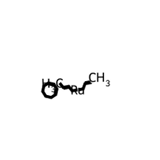 C1=CCCCCC=C1.CC=C[CH2][Ru][CH2]C=CC